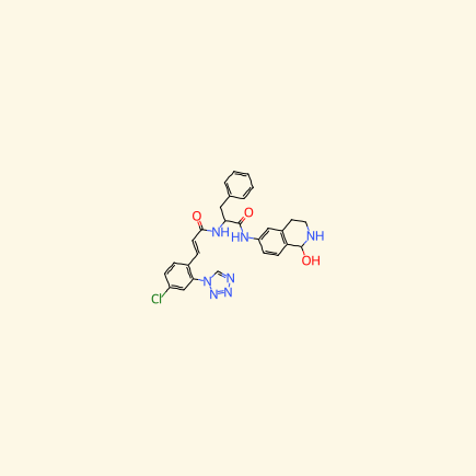 O=C(/C=C/c1ccc(Cl)cc1-n1cnnn1)NC(Cc1ccccc1)C(=O)Nc1ccc2c(c1)CCNC2O